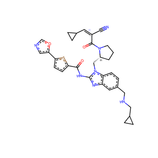 N#C/C(=C/C1CC1)C(=O)N1CCC[C@@H]1Cn1c(NC(=O)c2ccc(-c3cnco3)s2)nc2cc(CNCC3CC3)ccc21